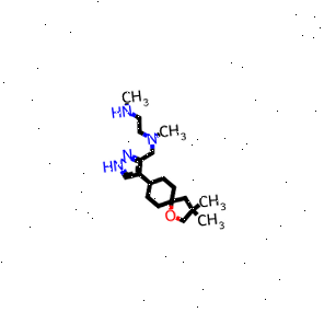 CNCCN(C)Cc1n[nH]cc1C1CCC2(CC1)CC(C)(C)CO2